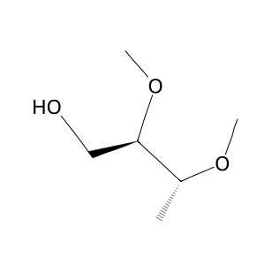 CO[C@H](C)[C@@H](CO)OC